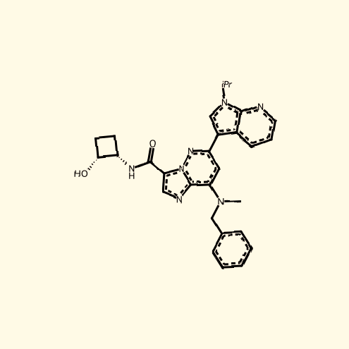 CC(C)n1cc(-c2cc(N(C)Cc3ccccc3)c3ncc(C(=O)N[C@H]4CC[C@H]4O)n3n2)c2cccnc21